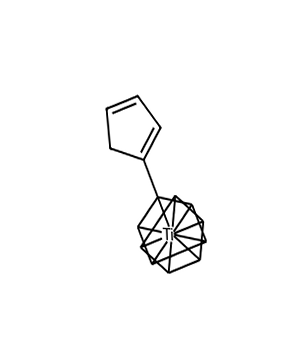 C1=CCC([C]23[CH]4[CH]5[CH]6[CH]2[Ti]56432789[CH]3[CH]2[CH]7[CH]8[CH]39)=C1